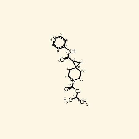 O=C(Nc1ccncc1)C1CC12CCN(C(=O)OC(C(F)(F)F)C(F)(F)F)CC2